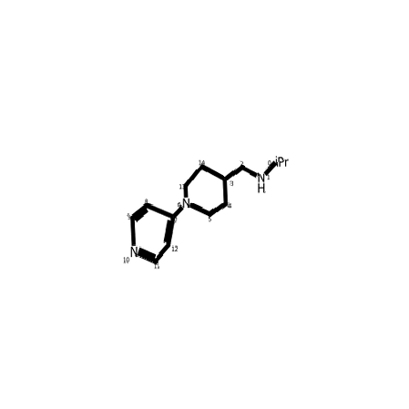 CC(C)NCC1CCN(c2ccncc2)CC1